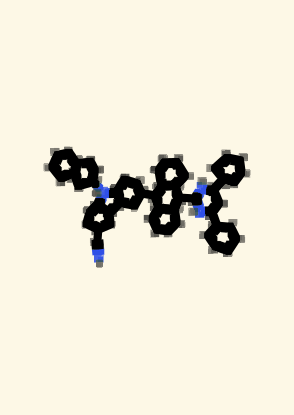 N#Cc1ccc2c(c1)c1cc(-c3c4ccccc4c(-c4nc(-c5ccccc5)cc(-c5ccccc5)n4)c4ccccc34)ccc1n2-c1ccc2ccccc2c1